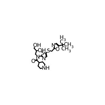 CC(C)(C)c1cnc(CSc2cnc(N(CC(O)CO)C(=O)C3CCNCC3)s2)o1